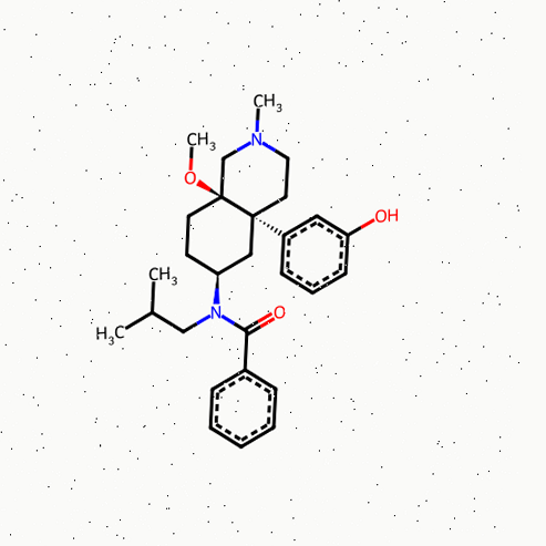 CO[C@]12CC[C@H](N(CC(C)C)C(=O)c3ccccc3)C[C@]1(c1cccc(O)c1)CCN(C)C2